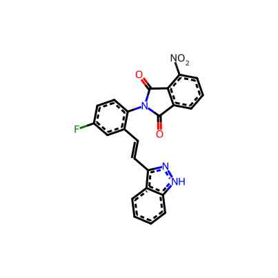 O=C1c2cccc([N+](=O)[O-])c2C(=O)N1c1ccc(F)cc1/C=C/c1n[nH]c2ccccc12